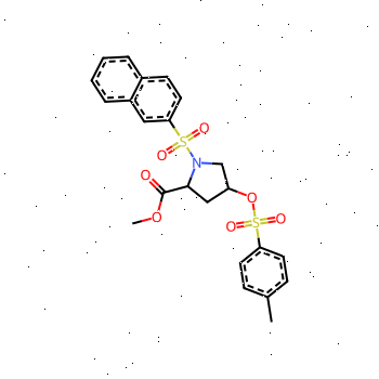 COC(=O)C1CC(OS(=O)(=O)c2ccc(C)cc2)CN1S(=O)(=O)c1ccc2ccccc2c1